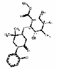 CC[C@H](C)C[C@H](CC)C(C)[C@H](O)[C@H](CN1CC(=O)N(c2ccccc2Cl)CC1(C)C)NC(=O)OC(C)(C)C